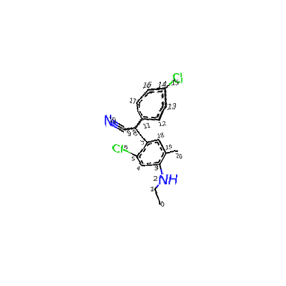 CCNc1cc(Cl)c(C(C#N)c2ccc(Cl)cc2)cc1C